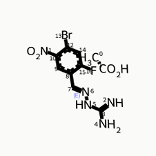 CC(=O)O.N=C(N)N/N=C/c1cc([N+](=O)[O-])c(Br)cc1F